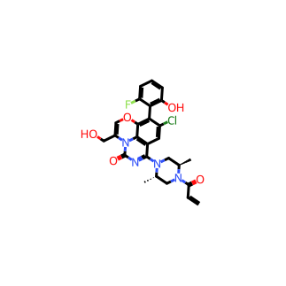 C=CC(=O)N1C[C@H](C)N(c2nc(=O)n3c4c(c(-c5c(O)cccc5F)c(Cl)cc24)OC=C3CO)C[C@H]1C